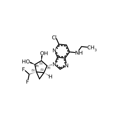 CCNc1cc(Cl)nc2c1ncn2[C@H]1[C@H](O)[C@H](O)[C@]2(C(F)F)C[C@H]12